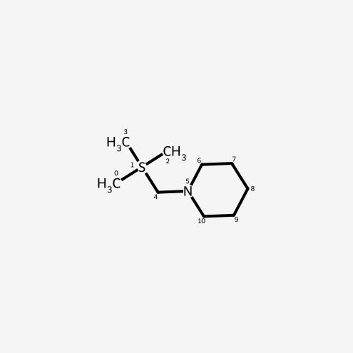 CS(C)(C)CN1CCCCC1